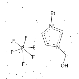 CC[n+]1ccn(CO)c1.F[P-](F)(F)(F)(F)F